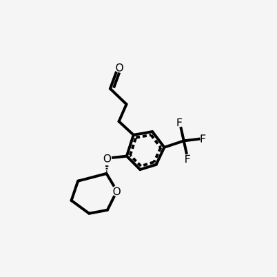 O=CCCc1cc(C(F)(F)F)ccc1O[C@H]1CCCCO1